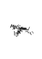 CC(C)(C)CC(NC(=O)c1cc2c(Cl)cc(Cl)cc2[nH]1)C(=O)NC(CC1CCCNC1=O)C(=O)O